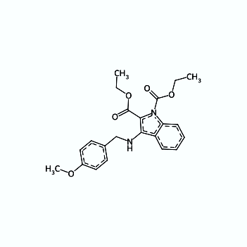 CCOC(=O)c1c(NCc2ccc(OC)cc2)c2ccccc2n1C(=O)OCC